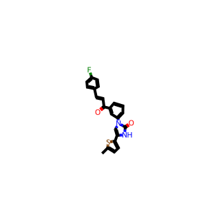 Cc1ccc(-c2cn(-c3cccc(C(=O)/C=C/c4ccc(F)cc4)c3)c(=O)[nH]2)s1